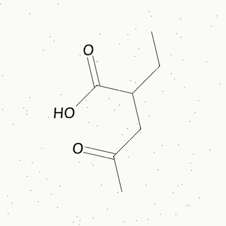 CCC(CC(C)=O)C(=O)O